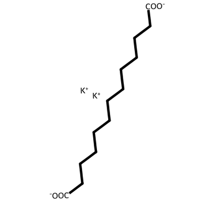 O=C([O-])CCCCCCCCCCCC(=O)[O-].[K+].[K+]